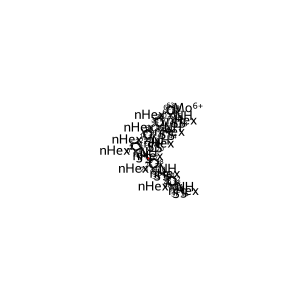 CCCCCCc1cccc(NC(=S)[S-])c1CCCCCC.CCCCCCc1cccc(NC(=S)[S-])c1CCCCCC.CCCCCCc1cccc(NC(=S)[S-])c1CCCCCC.CCCCCCc1cccc(NC(=S)[S-])c1CCCCCC.CCCCCCc1cccc(NC(=S)[S-])c1CCCCCC.CCCCCCc1cccc(NC(=S)[S-])c1CCCCCC.[Mo+6]